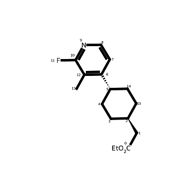 CCOC(=O)C[C@H]1CC[C@H](c2ccnc(F)c2C)CC1